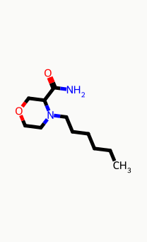 CCCCCCN1CCOCC1C(N)=O